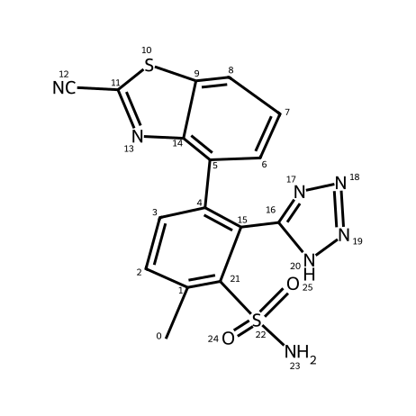 Cc1ccc(-c2cccc3sc(C#N)nc23)c(-c2nnn[nH]2)c1S(N)(=O)=O